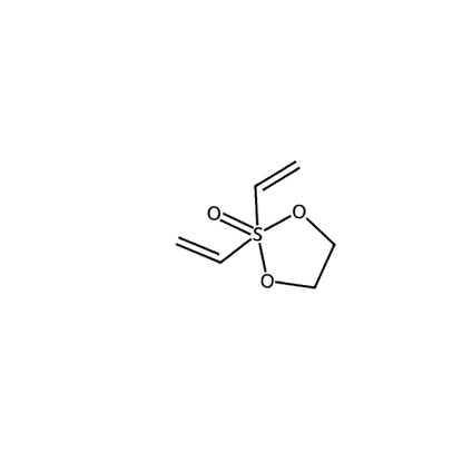 C=CS1(=O)(C=C)OCCO1